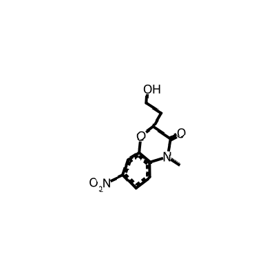 CN1C(=O)C(CCO)Oc2cc([N+](=O)[O-])ccc21